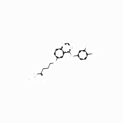 O=C(CCCOc1ccc2ncnc(Nc3ccc(F)c(Cl)c3)c2c1)NO